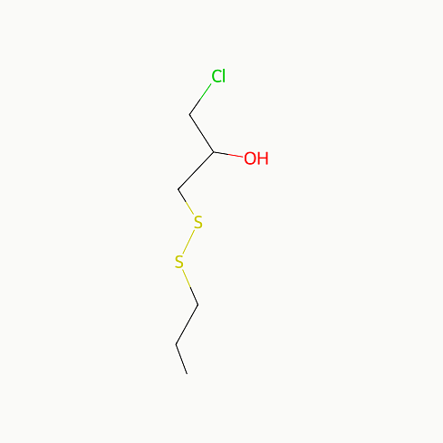 CCCSSCC(O)CCl